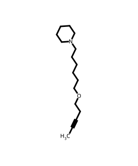 CC#CCCOCCCCCCN1CCCCC1